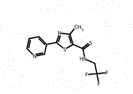 Cc1nc(-c2cccnc2)sc1C(=S)NCC(F)(F)F